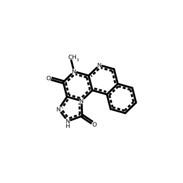 Cn1c(=O)c2n[nH]c(=O)n2c2c3ccccc3cnc21